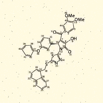 COc1ccc(C(=O)C2=C(O)C(=O)N(c3nnc(SCc4cccc5ccccc45)s3)[C@H]2c2cccc(Oc3ccccc3)c2)cc1OC